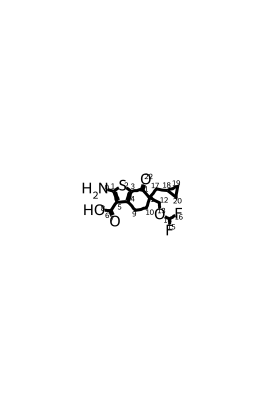 Nc1sc2c(c1C(=O)O)CCC(COC(F)F)(CC1CC1)C2=O